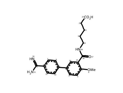 COc1ccc(-c2ccc(C(=N)N)cc2)cc1C(=O)NCCCCC(=O)O